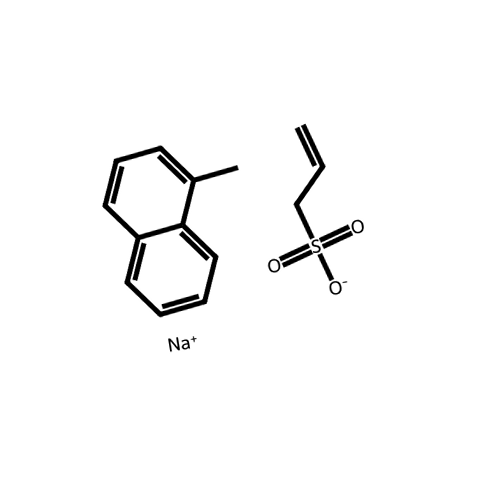 C=CCS(=O)(=O)[O-].Cc1cccc2ccccc12.[Na+]